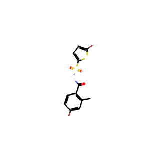 Cc1cc(Br)ccc1C(=O)NS(=O)(=O)c1ccc(Br)s1